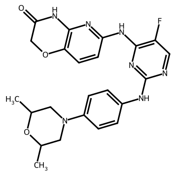 CC1CN(c2ccc(Nc3ncc(F)c(Nc4ccc5c(n4)NC(=O)CO5)n3)cc2)CC(C)O1